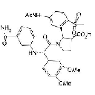 COc1ccc([C@H](Nc2cccc(C(N)=O)c2)C(=O)N2CC[C@H](C(=O)O)[C@@H]2c2cc(NC(C)=O)ccc2S(C)(=O)=O)cc1OC